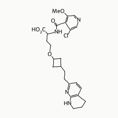 COc1cncc(Cl)c1C(=O)NC(CCOC1CC(CCc2ccc3c(n2)NCCC3)C1)C(=O)O